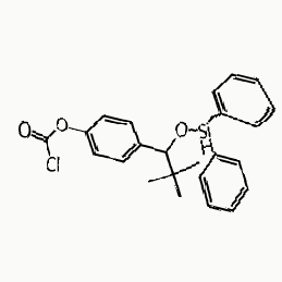 CC(C)(C)C(O[SiH](c1ccccc1)c1ccccc1)c1ccc(OC(=O)Cl)cc1